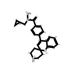 C=C(c1ccc(C2=CC3(CCNCC3)Oc3ccccc32)cc1)N(CCC)CC1CC1